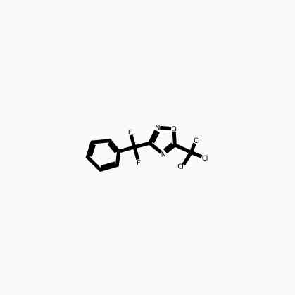 FC(F)(c1ccccc1)c1noc(C(Cl)(Cl)Cl)n1